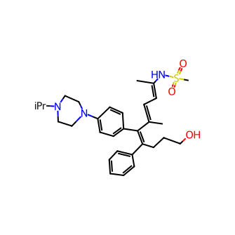 C\C(=C/C=C(C)/C(=C(\CCCO)c1ccccc1)c1ccc(N2CCN(C(C)C)CC2)cc1)NS(C)(=O)=O